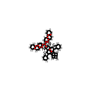 c1ccc(-c2ccc(-c3nc(-c4ccccc4)nc(-c4ccc(C56CC7CC8CC(c9ccc(-c%10nc(-c%11ccccc%11)nc(-c%11ccc(-c%12ccccc%12)cc%11)n%10)c%10sc%11ccccc%11c9%10)(C5)C786)c5c4sc4ccccc45)n3)cc2)cc1